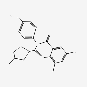 COc1ccc(-n2c(C3CC(F)CN3)nc3c(C)cc([N+](=O)[O-])cc3c2=O)cc1